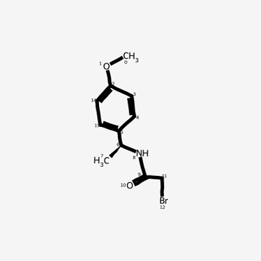 COc1ccc([C@H](C)NC(=O)CBr)cc1